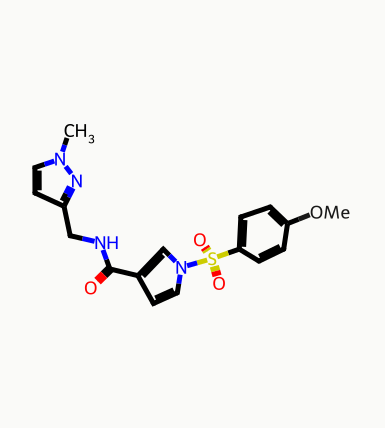 COc1ccc(S(=O)(=O)n2ccc(C(=O)NCc3ccn(C)n3)c2)cc1